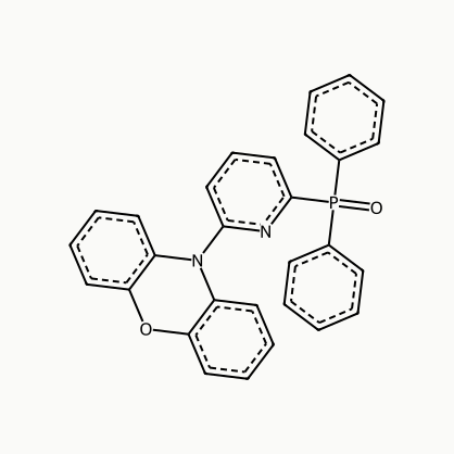 O=P(c1ccccc1)(c1ccccc1)c1cccc(N2c3ccccc3Oc3ccccc32)n1